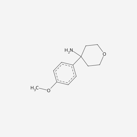 COc1ccc(C2(N)CCOCC2)cc1